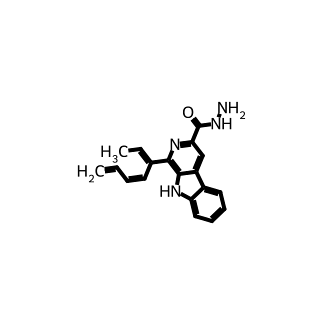 C=C/C=C\C(=C/C)c1nc(C(=O)NN)cc2c1[nH]c1ccccc12